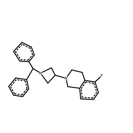 Fc1cccc2c1CCN(C1CN(C(c3ccccc3)c3ccccc3)C1)C2